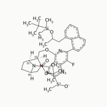 CC(Cc1cccc2cccc(-c3nc4c5c(nc([S+](C)[O-])nc5c3F)N3C[C@H]5CC[C@@H]([C@H]3CO4)N5C(=O)OC(C)(C)C)c12)O[Si](C)(C)C(C)(C)C